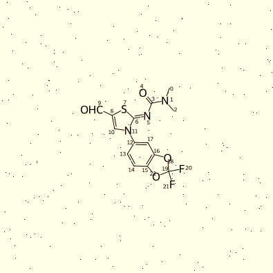 CN(C)C(=O)/N=c1\sc(C=O)cn1-c1ccc2c(c1)OC(F)(F)O2